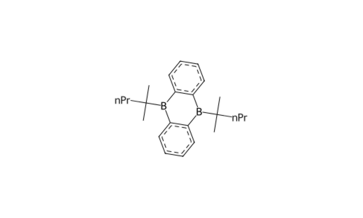 CCCC(C)(C)B1c2ccccc2B(C(C)(C)CCC)c2ccccc21